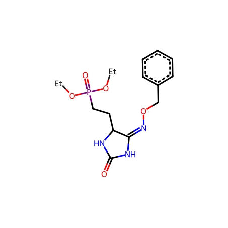 CCOP(=O)(CCC1NC(=O)NC1=NOCc1ccccc1)OCC